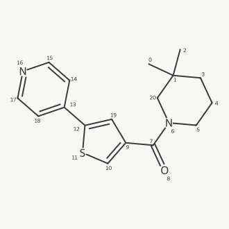 CC1(C)CCCN(C(=O)c2csc(-c3ccncc3)c2)C1